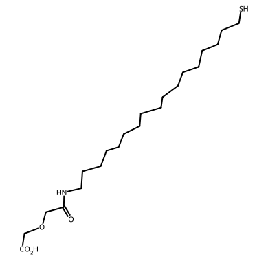 O=C(O)COCC(=O)NCCCCCCCCCCCCCCCCCS